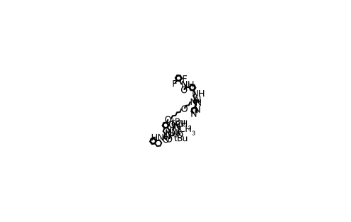 C[C@@H](C(=O)N[C@H](C(=O)N1Cc2cc(OCCCCCCOCCCn3c(CNc4cccc(C(=O)NCc5c(F)cccc5F)c4)nnc3-c3ccncn3)ccc2CC1C(=O)N[C@@H]1CCCc2ccccc21)C(C)(C)C)N(C)C(=O)OC(C)(C)C